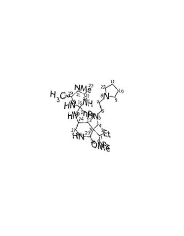 CCCC(CC)C1(CNCCN2CCCC2)CC(NC2(CCC)NC(C)CC(NC)N2)CNC1OC